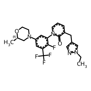 CCn1cc(Cc2cccn(-c3cc(N4CCO[C@H](C)C4)cc(C(F)(F)F)c3F)c2=O)cn1